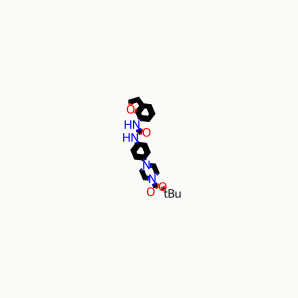 CC(C)(C)OC(=O)N1CCN(c2ccc(NC(=O)Nc3cccc4c3OCC4)cc2)CC1